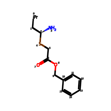 CC(C)C[C@H](N)SCC(=O)OCc1ccccc1